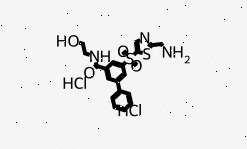 Cl.Cl.NCc1ncc(S(=O)(=O)c2cc(C(=O)NCCO)cc(-c3ccccc3)c2)s1